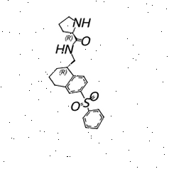 O=C(NC[C@@H]1CCCc2cc(S(=O)(=O)c3ccccc3)ccc21)[C@H]1CCCN1